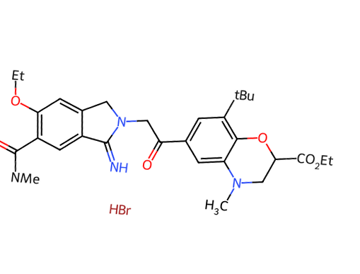 Br.CCOC(=O)C1CN(C)c2cc(C(=O)CN3Cc4cc(OCC)c(C(=O)NC)cc4C3=N)cc(C(C)(C)C)c2O1